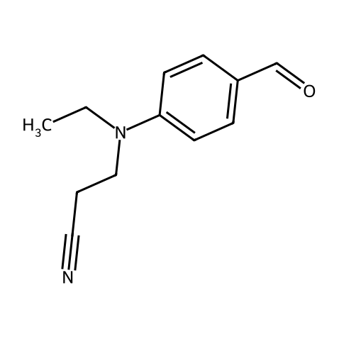 CCN(CCC#N)c1ccc(C=O)cc1